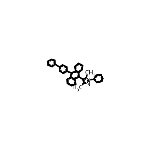 Cc1nn(-c2ccccc2)c(C)c1-c1c2ccccc2c(-c2ccc(-c3ccccc3)cc2)c2ccccc12